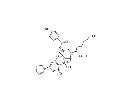 CC1(C)[C@H]2[C@@H](O)c3c(cc(-c4cccnc4)oc3=O)O[C@]2(C)[C@@H](OC(=O)c2ccc(C#N)cc2)C[C@H]1C(CCCCC(=O)O)C(=O)O